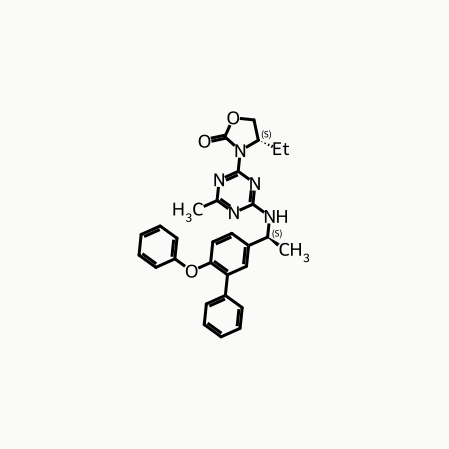 CC[C@H]1COC(=O)N1c1nc(C)nc(N[C@@H](C)c2ccc(Oc3ccccc3)c(-c3ccccc3)c2)n1